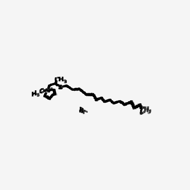 CCCCCCCCCCCCCCCCSC(C)C[N+]1(C)CCCC1.[Br-]